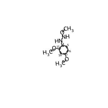 CONNc1ccc(OC)cc1OC